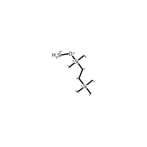 C[Si](C)(C)CC[Si](C)(C)O[SiH3]